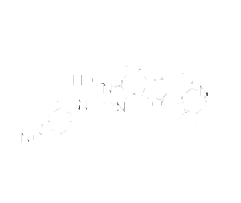 Cn1c(CNc2ccc(C#N)cc2)nc2cc(C3(C(=O)c4cccnc4)CC3)ccc21